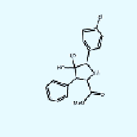 COC(=O)C1NC(c2ccc(Cl)cc2)C(C#N)(C#N)C1c1ccccc1